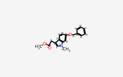 COC(=O)Cc1cn(C)c2cc(OCc3ccccc3)ccc12